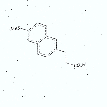 CSc1ccc2cc(CCC(=O)O)ccc2c1